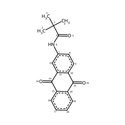 CC(C)(C)C(=O)Nc1ccc2c(c1)C(=O)c1ccccc1C2=O